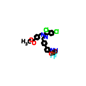 COC(=O)c1ccc(Cn2cc(-c3ccc(Cl)cc3Cl)nc2Cc2ccc(-c3cccc(NS(=O)(=O)C(F)(F)F)c3)cc2)cc1